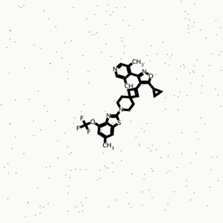 Cc1cc(OC(F)(F)F)c2nc(N3CCC4(C=C(c5c(-c6c(C)cncc6C)noc5C5CC5)C4)CC3)sc2c1